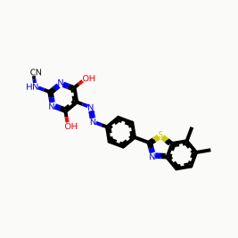 Cc1ccc2nc(-c3ccc(N=Nc4c(O)nc(NC#N)nc4O)cc3)sc2c1C